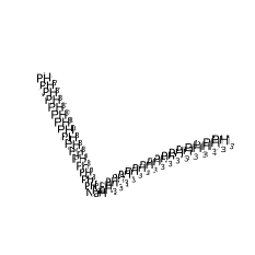 P.P.P.P.P.P.P.P.P.P.P.P.P.P.P.P.P.P.P.P.P.P.P.P.P.P.P.P.P.P.P.P.[NaH].[NaH]